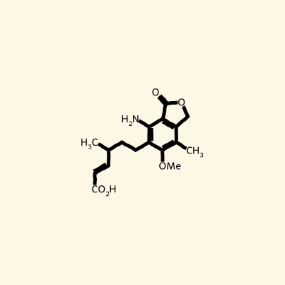 COc1c(C)c2c(c(N)c1CCC(C)/C=C/C(=O)O)C(=O)OC2